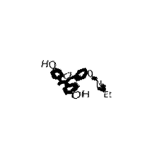 CCC1CN(CCOc2ccc(C3Oc4cc(O)ccc4C(C)=C3c3ccc(O)cc3)cc2)C1